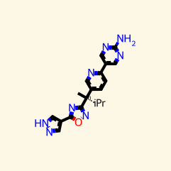 CC(C)[C@](C)(c1ccc(-c2cnc(N)nc2)nc1)c1noc(-c2cn[nH]c2)n1